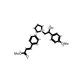 COC(=O)/C=C/c1ccc([C@@H]2CCCN2CC(O)c2ccc(OC)cc2)cc1